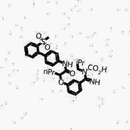 CCCC(Oc1cccc(C(=N)N(CC(C)C)C(=O)O)c1)C(=O)Nc1ccc(-c2ccccc2S(C)(=O)=O)cc1